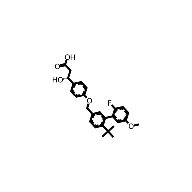 COc1ccc(F)c(-c2cc(COc3ccc([C@H](O)CC(=O)O)cc3)ccc2C(C)(C)C)c1